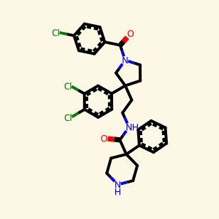 O=C(c1ccc(Cl)cc1)N1CCC(CCNC(=O)C2(c3ccccc3)CCNCC2)(c2ccc(Cl)c(Cl)c2)C1